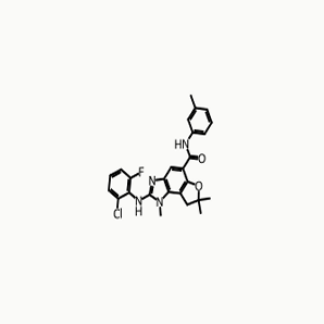 Cc1cccc(NC(=O)c2cc3nc(Nc4c(F)cccc4Cl)n(C)c3c3c2OC(C)(C)C3)c1